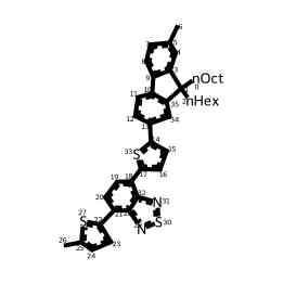 CCCCCCCCC1(CCCCCC)c2cc(C)ccc2-c2ccc(-c3ccc(-c4ccc(-c5ccc(C)s5)c5nsnc45)s3)cc21